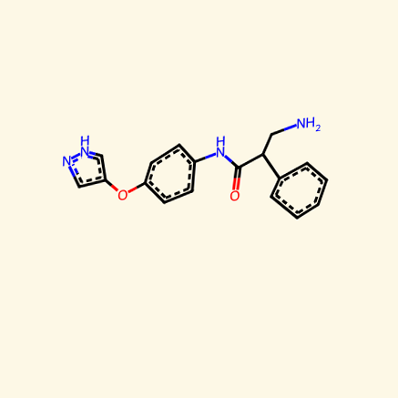 NCC(C(=O)Nc1ccc(Oc2cn[nH]c2)cc1)c1ccccc1